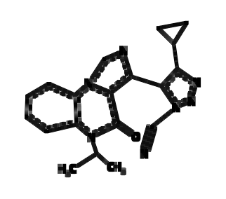 CC(C)n1c(=O)c2c(-c3c(C4CC4)nnn3C#N)ncn2c2ccccc21